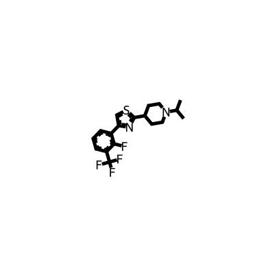 CC(C)N1CCC(c2nc(-c3cccc(C(F)(F)F)c3F)cs2)CC1